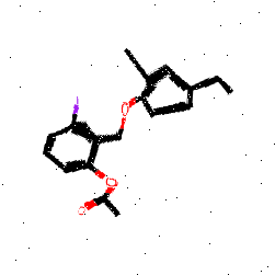 CCc1ccc(OCc2c(I)cccc2OC(C)=O)c(C)c1